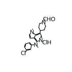 CN(c1cccc(Cl)c1)c1ncc(C2CCN(C=O)CC2)c2c1ccn2C.Cl